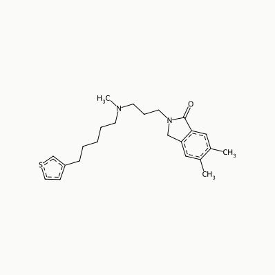 Cc1cc2c(cc1C)C(=O)N(CCCN(C)CCCCCc1ccsc1)C2